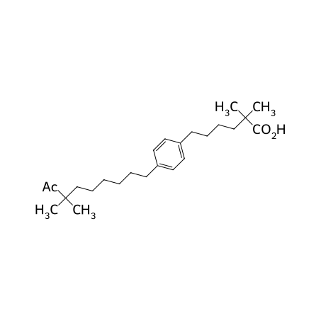 CC(=O)C(C)(C)CCCCCCc1ccc(CCCCC(C)(C)C(=O)O)cc1